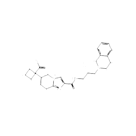 NC(=O)C1(C2CCc3nc(C(=O)NC[C@H](O)CN4CCc5ccccc5C4)cn3C2)CCC1